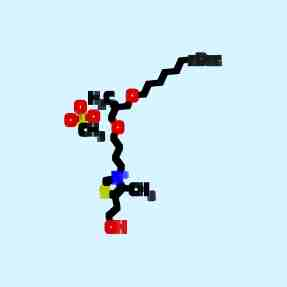 C=C(COCCCCCCCCCCCCCCCC)COCCCC[n+]1csc(CCO)c1C.CS(=O)(=O)[O-]